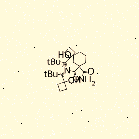 CC(C)(C)[C@@H](N(C(=O)C1(C(N)=O)CCCCC1)[C@H](C(C)(C)C)C1(O)CCC1)C1(O)CCC1